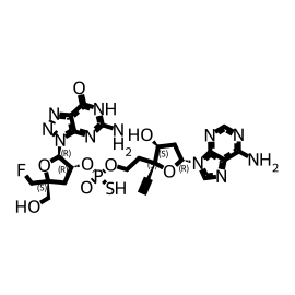 C#C[C@]1(CCOP(=O)(S)O[C@@H]2C[C@](CO)(CF)O[C@H]2n2nnc3c(=O)[nH]c(N)nc32)O[C@@H](n2cnc3c(N)ncnc32)C[C@@H]1O